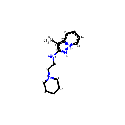 O=[N+]([O-])c1c(NCCN2CCCCC2)nn2ccccc12